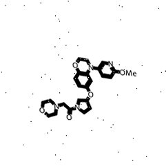 COc1ccc(N2CCOc3ccc(OC4CCN(C(=O)CN5CCOCC5)C4)cc32)cn1